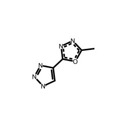 Cc1nnc(C2=C[N]N=N2)o1